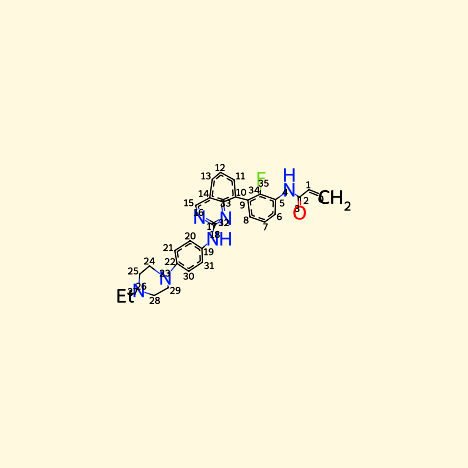 C=CC(=O)Nc1cccc(-c2cccc3cnc(Nc4ccc(N5CCN(CC)CC5)cc4)nc23)c1F